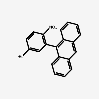 C[CH]c1ccc([N+](=O)[O-])c(-c2c3ccccc3cc3ccccc23)c1